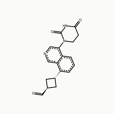 O=C[C@H]1C[C@H](c2cccc3c(N4CCC(=O)NC4=O)cncc32)C1